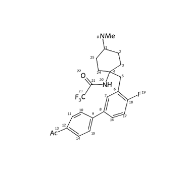 CNC1CCC(Cc2cc(-c3ccc(C(C)=O)cc3)ccc2F)(NC(=O)C(F)(F)F)CC1